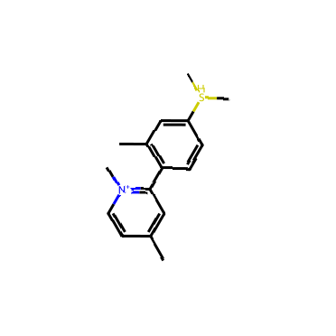 Cc1cc[n+](C)c(-c2ccc([SH](C)C)cc2C)c1